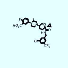 C[C@H]1CN([C@@H]2CC[C@@](C(=O)NCc3cc(Cl)cc(C(F)(F)F)c3)(C3CC3)OC2)CCN1c1ccc(F)c(C(=O)O)c1